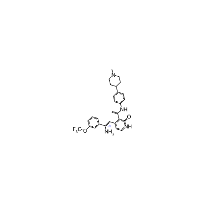 C=C(Nc1ccc(C2CCN(C)CC2)cc1)c1c(/C=C(\N)c2cccc(OC(F)(F)F)c2)cc[nH]c1=O